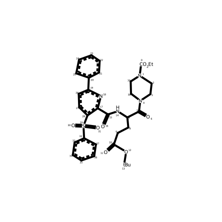 CCOC(=O)N1CCN(C(=O)C(CCC(=O)OC(C)(C)C)NC(=O)c2nc(-c3ccccc3)ccc2S(=O)(=O)c2ccccc2)CC1